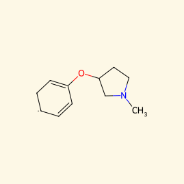 CN1CCC(OC2=CC[CH]C=C2)C1